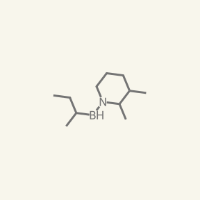 CCC(C)BN1CCCC(C)C1C